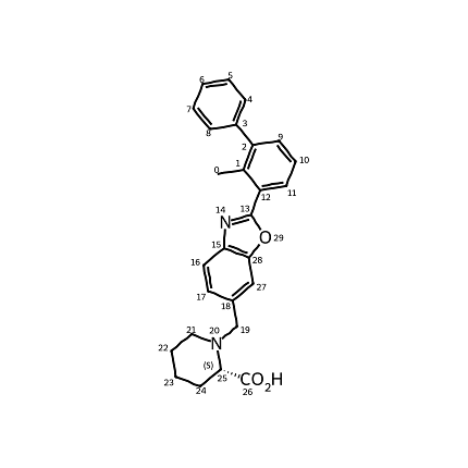 Cc1c(-c2ccccc2)cccc1-c1nc2ccc(CN3CCCC[C@H]3C(=O)O)cc2o1